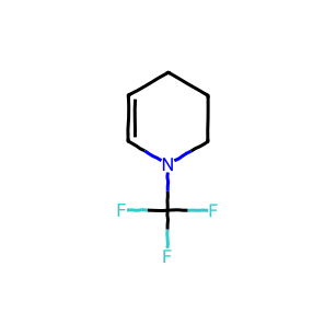 FC(F)(F)N1C=CCCC1